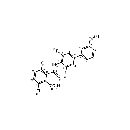 CCOc1cccc(-c2cc(F)c(NC(=O)c3c(Cl)ccc(Cl)c3C(=O)O)c(F)c2)c1